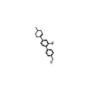 CC1CC=C(c2ccc(-c3ccc(CF)cc3)c(F)c2)CC1